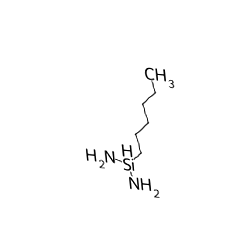 CCCCCC[SiH](N)N